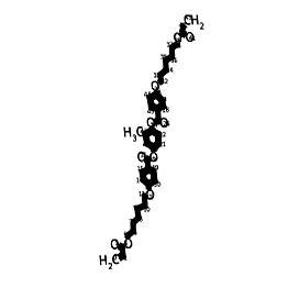 C=CC(=O)OCCCCCCCOc1ccc(C(=O)Oc2ccc(OC(=O)c3ccc(OCCCCCCCOC(=O)C=C)cc3)c(C)c2)cc1